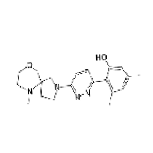 Cc1cc(C)c(-c2ccc(N3CCC4(COCCN4C)C3)nn2)c(O)c1